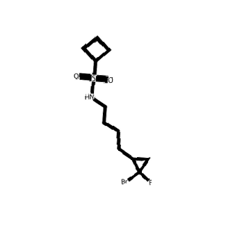 O=S(=O)(NCCCCC1CC1(F)Br)C1CCC1